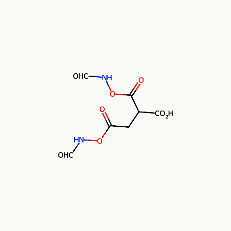 O=CNOC(=O)CC(C(=O)O)C(=O)ONC=O